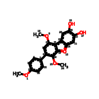 COc1ccc(-c2cc(OC)c3c(oc4cc(O)c(O)cc43)c2OC)cc1